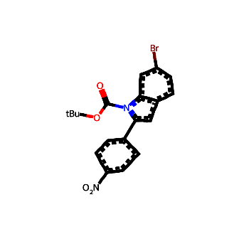 CC(C)(C)OC(=O)n1c(-c2ccc([N+](=O)[O-])cc2)cc2ccc(Br)cc21